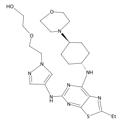 CCc1nc2c(N[C@H]3CC[C@H](N4CCOCC4)CC3)nc(Nc3cnn(CCOCCO)c3)nc2s1